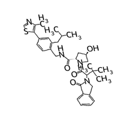 Cc1ncsc1-c1ccc(CNC(=O)[C@@H]2C[C@@H](O)CN2C(=O)C(N2Cc3ccccc3C2=O)C(C)(C)C)c(CC(C)C)c1